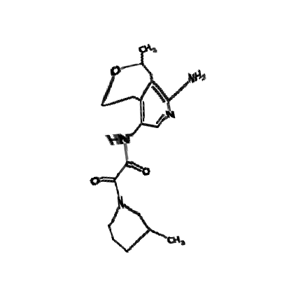 CC1CCCN(C(=O)C(=O)Nc2cnc(N)c3c2COC3C)C1